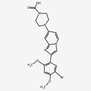 COc1cc(OC)c(-c2cn3ccc(N4CCN(C(=O)O)CC4)cc3n2)cc1Br